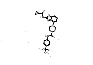 CC(C)(C)c1ccc(NC(=O)N2CCN(c3cccc4nc(NC(=O)C5CC5)nn34)CC2)cc1